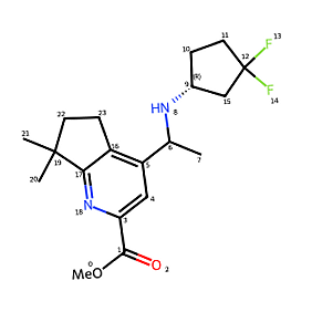 COC(=O)c1cc(C(C)N[C@@H]2CCC(F)(F)C2)c2c(n1)C(C)(C)CC2